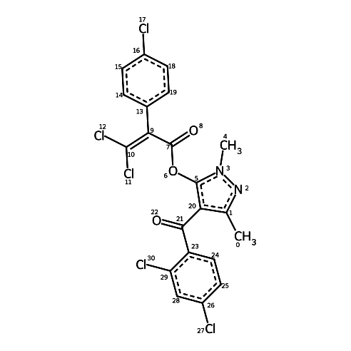 Cc1nn(C)c(OC(=O)C(=C(Cl)Cl)c2ccc(Cl)cc2)c1C(=O)c1ccc(Cl)cc1Cl